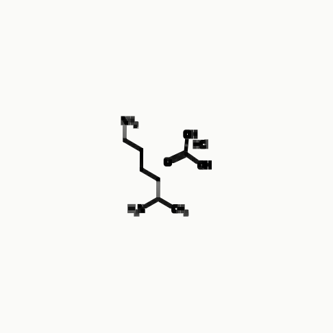 CC(N)CCCCN.Cl.O=C(O)O